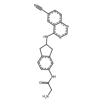 N#Cc1ccc2ncnc(NC3Cc4ccc(NC(=O)CN)cc4C3)c2c1